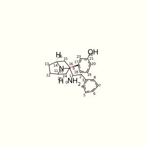 NC(Cc1ccccc1)CN1[C@@H]2CC[C@H]1C[C@@H](c1cccc(O)c1)C2